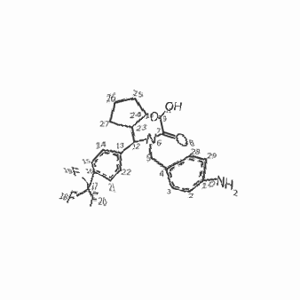 Nc1ccc(CN(C(=O)C(=O)O)C(c2ccc(C(F)(F)F)cc2)C2CCCC2)cc1